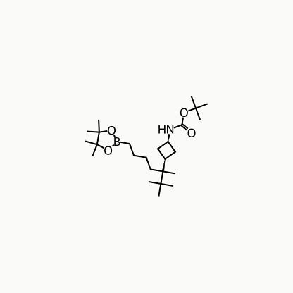 CC(C)(C)OC(=O)N[C@H]1C[C@@H](C(C)(CCCCB2OC(C)(C)C(C)(C)O2)C(C)(C)C)C1